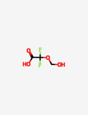 O=C(O)C(F)(F)OCO